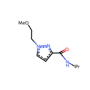 COCCn1ccc(C(=O)NC(C)C)n1